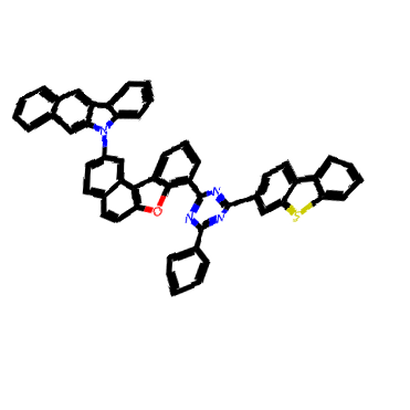 c1ccc(-c2nc(-c3ccc4c(c3)sc3ccccc34)nc(-c3cccc4c3oc3ccc5ccc(-n6c7ccccc7c7cc8ccccc8cc76)cc5c34)n2)cc1